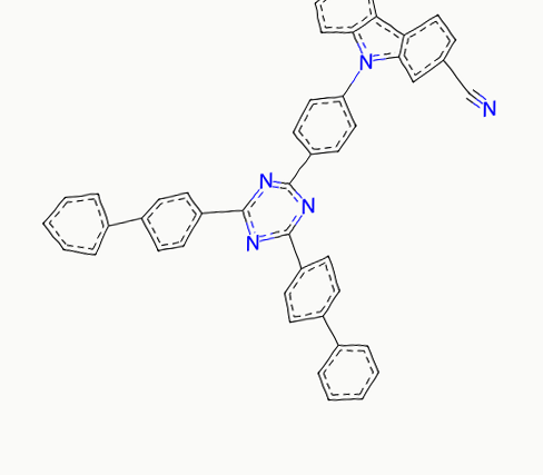 N#Cc1ccc2c3ccccc3n(-c3ccc(-c4nc(-c5ccc(-c6ccccc6)cc5)nc(-c5ccc(-c6ccccc6)cc5)n4)cc3)c2c1